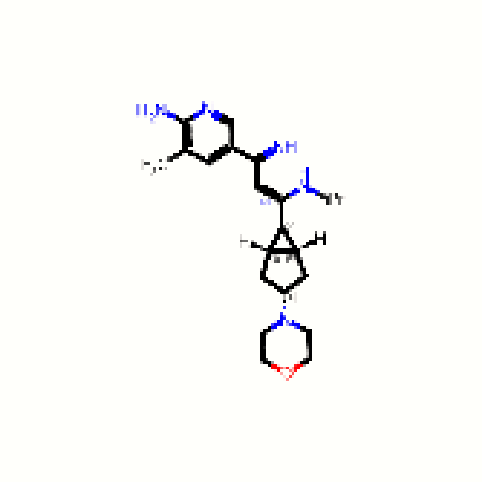 CC(C)N/C(=C\C(=N)c1cnc(N)c(C(F)(F)F)c1)[C@H]1[C@@H]2C[C@H](N3CCOCC3)C[C@@H]21